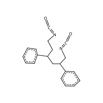 O=C=NCCC(CC(CN=C=O)c1ccccc1)c1ccccc1